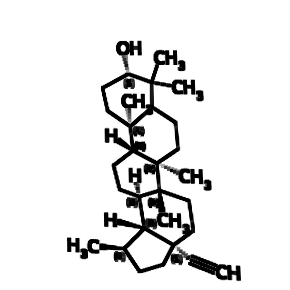 C#C[C@]12CC[C@@H](C)[C@@H]1[C@H]1CC[C@@H]3[C@@]4(C)CC[C@H](O)C(C)(C)C4CC[C@@]3(C)[C@]1(C)CC2